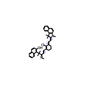 C/N=C(\C=C\C1=C(Cl)C(=C/C=C2/N(C)c3ccc4ccccc4c3C2(C)C)/CCC1)C(C)(C)c1c(O)ccc2ccccc12